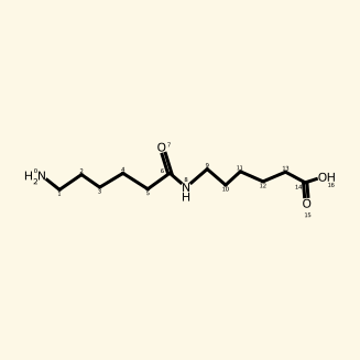 NCCCCCC(=O)NCCCCCC(=O)O